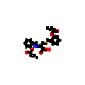 CC(=O)Oc1ccccc1CN[C@@H](CSCc1ccccc1OC(C)=O)C(=O)O